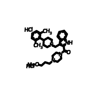 COCCCN1CCN(C(=O)c2[nH]c3ccccc3c2CN2CCC(c3c(C)cccc3C)CC2)CC1.Cl.Cl